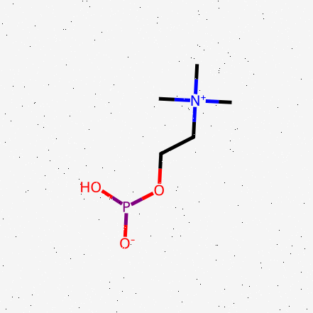 C[N+](C)(C)CCOP([O-])O